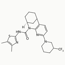 Cc1nc(NC(=O)N2c3nc(N4CCCC(C(F)(F)F)C4)ccc3C3CCC[C@H]2C3)sc1C